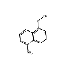 Nc1cccc2c(CO)cccc12